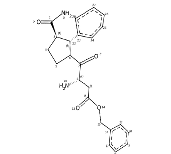 NC(=O)[C@@H]1CCC(C(=O)[C@@H](N)CC(=O)OCc2ccccc2)[C@H]1c1ccccc1